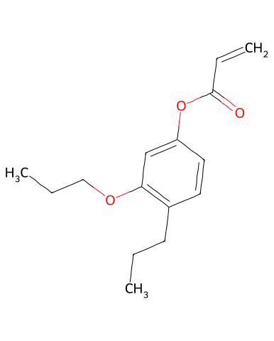 C=CC(=O)Oc1ccc(CCC)c(OCCC)c1